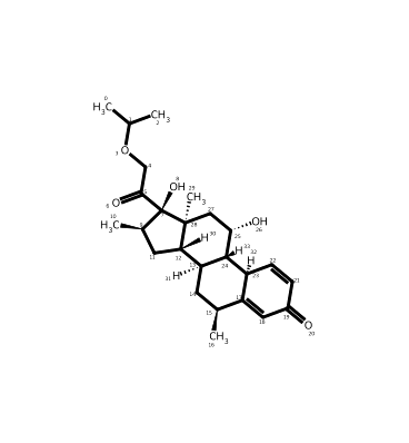 CC(C)OCC(=O)[C@@]1(O)[C@H](C)C[C@H]2[C@@H]3C[C@H](C)C4=CC(=O)C=C[C@@H]4[C@H]3[C@@H](O)C[C@@]21C